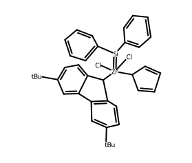 CC(C)(C)c1ccc2c(c1)-c1cc(C(C)(C)C)ccc1[CH]2[Zr]([Cl])([Cl])([CH]1C=CC=C1)=[Si](c1ccccc1)c1ccccc1